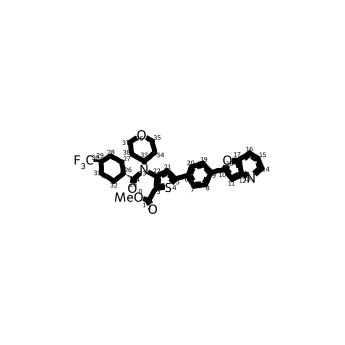 COC(=O)c1sc(-c2ccc(-c3cc4ncccc4o3)cc2)cc1N(C(=O)[C@H]1CC[C@H](C(F)(F)F)CC1)C1CCOCC1